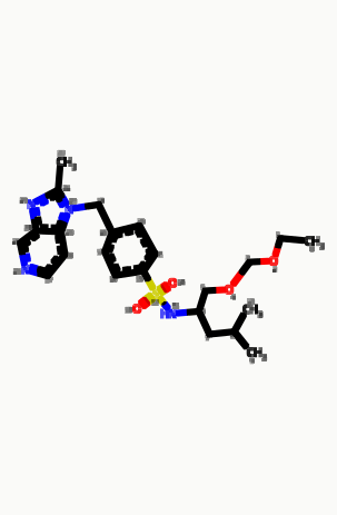 CCOCOCC(CC(C)C)NS(=O)(=O)c1ccc(Cn2c(C)nc3cnccc32)cc1